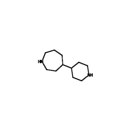 C1CNCCC(C2CCNCC2)C1